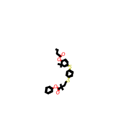 CCCC(=O)OC1C=CC(Sc2ccc(SCCC(C)(C)C(=O)Oc3ccccc3)cc2)=CC1(C)C